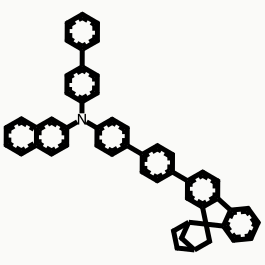 c1ccc(-c2ccc(N(c3ccc(-c4ccc(-c5ccc6c(c5)C5(CC7CCC5C7)c5ccccc5-6)cc4)cc3)c3ccc4ccccc4c3)cc2)cc1